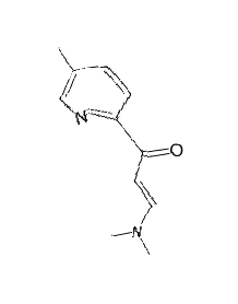 Cc1ccc(C(=O)C=CN(C)C)nc1